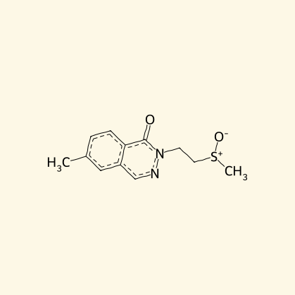 Cc1ccc2c(=O)n(CC[S+](C)[O-])ncc2c1